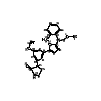 CCOCN(c1ncc(-c2cc(OC(C)C)cc(N3CCNC3=O)c2)o1)c1ccccc1C